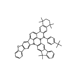 CC(C)(C)c1ccc(N2B3c4cc5c(cc4-n4c6cc7c(cc6c6ccc(c3c64)-c3cc4c(cc32)C(C)(C)CCC4(C)C)oc2ccccc27)C(C)(C)c2ccccc2-5)cc1